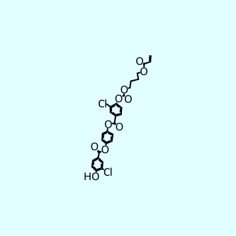 C=CC(=O)OCCCCOC(=O)Oc1ccc(C(=O)Oc2ccc(OC(=O)c3ccc(O)c(Cl)c3)cc2)cc1Cl